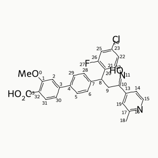 COc1cc(-c2ccc(C(C/C(=N\O)c3ccnc(C)c3)c3ccc(Cl)cc3F)cc2)ccc1C(=O)O